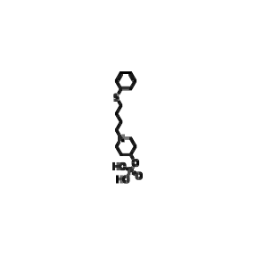 O=P(O)(O)OC1CCN(CCCCSc2ccccc2)CC1